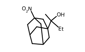 CCC(C)(O)C12CC3CC(CC([N+](=O)[O-])(C3)C1)C2